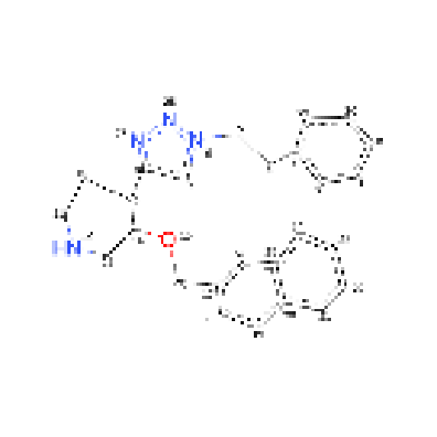 c1ccc(CCn2cc(C3CCNCC3OCc3ccc4ccccc4c3)nn2)cc1